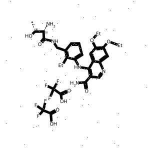 CCOc1cc2ncc(C(N)=O)c(Nc3cccc(CNC(=O)[C@@H](N)[C@@H](C)O)c3CC)c2cc1OCC.O=C(O)C(F)(F)F.O=C(O)C(F)(F)F